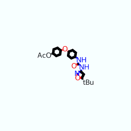 CC(=O)Oc1ccc(Oc2ccc(NC(=O)Nc3cc(C(C)(C)C)on3)cc2)cc1